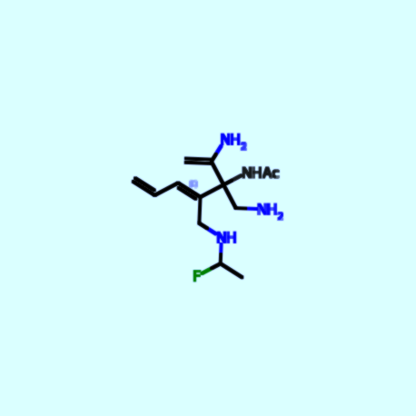 C=C/C=C(\CNC(C)F)C(CN)(NC(C)=O)C(=C)N